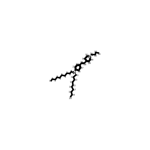 CCCCCCCCCCN(CCCCCCCCCC)c1ccc(/C=C/c2cc[n+](CCCC)cc2)cc1